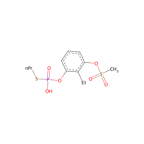 CCCSP(=O)(O)Oc1cccc(OS(C)(=O)=O)c1CC